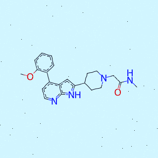 CNC(=O)CN1CCC(c2cc3c(-c4ccccc4OC)ccnc3[nH]2)CC1